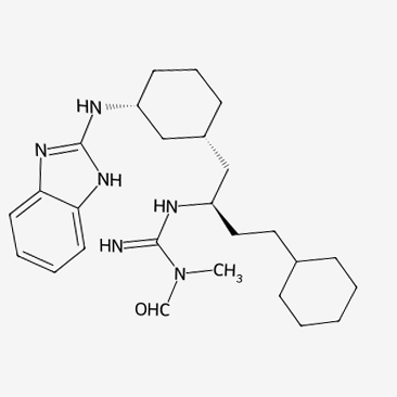 CN(C=O)C(=N)N[C@H](CCC1CCCCC1)C[C@H]1CCC[C@@H](Nc2nc3ccccc3[nH]2)C1